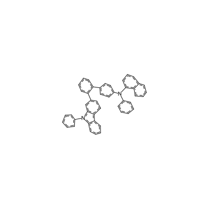 c1ccc(N(c2ccc(-c3ccccc3-c3ccc4c5ccccc5n(-c5ccccc5)c4c3)cc2)c2cccc3ccccc23)cc1